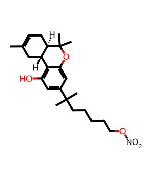 CC1=CC[C@@H]2[C@@H](C1)c1c(O)cc(C(C)(C)CCCCCO[N+](=O)[O-])cc1OC2(C)C